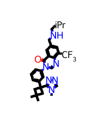 CC(C)CNCc1cc(C(F)(F)F)c2ncn(-c3cccc(C4(c5nncn5C)CC(C)(C)C4)c3)c(=O)c2c1